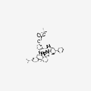 CC(C)c1ccc2c(c1)CC[C@H]1[C@@](C)(Cn3c(-c4cc(OCC(=O)OC(C)(C)C)ccc4N)nc4cc(-c5ccccc5)ccc43)CCC[C@]21C